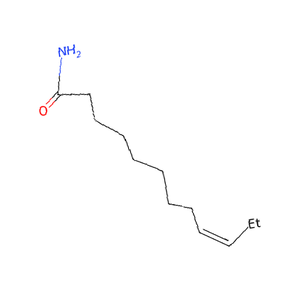 CC/C=C\CCCCCCCC(N)=O